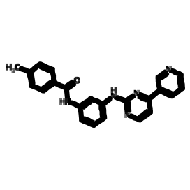 Cc1ccc(C(=O)Nc2cccc(Nc3nccc(-c4cccnc4)n3)c2)cc1